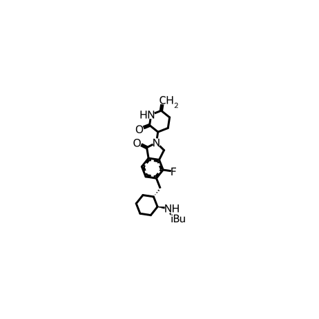 C=C1CCC(N2Cc3c(ccc(C[C@H]4CCCC[C@@H]4N[C@@H](C)CC)c3F)C2=O)C(=O)N1